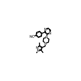 Cc1nn(C)c(C)c1CN1CCN(c2nccnc2-c2ccc(C#N)cc2)CC1